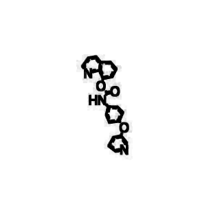 O=C(Nc1ccc(Oc2cccnc2)cc1)Oc1cccc2cccnc12